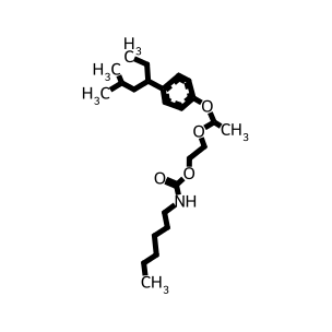 CCCCCCNC(=O)OCCOC(C)Oc1ccc(C(CC)CC(C)C)cc1